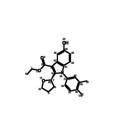 CCOC(=O)c1c([C@H]2CCCO2)n(-c2ccc(F)c(C)c2)c2ccc(O)cc12